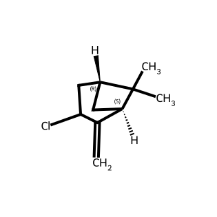 C=C1C(Cl)C[C@H]2C[C@H]1C2(C)C